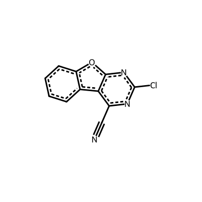 N#Cc1nc(Cl)nc2oc3ccccc3c12